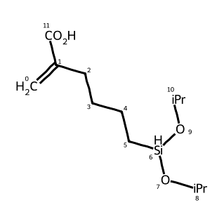 C=C(CCCC[SiH](OC(C)C)OC(C)C)C(=O)O